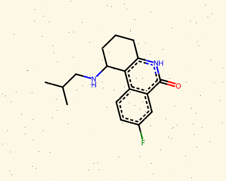 CC(C)CNC1CCCc2[nH]c(=O)c3cc(F)ccc3c21